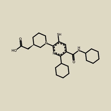 O=C(O)C[C@H]1CCCN(c2nc(C3CCCCC3)c(C(=O)NC3CCCCC3)cc2S)C1